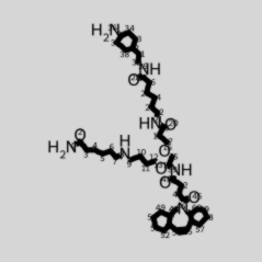 NC(=O)CCCCCNCCCCOC(COCCC(=O)NCCCCCC(=O)NCCC1CCC(N)CC1)NC(=O)CCC(=O)N1CC2CCCCC2C#CC2CCCCC21